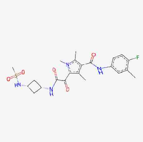 Cc1cc(NC(=O)c2c(C)c(C(=O)C(=O)N[C@H]3C[C@@H](NS(C)(=O)=O)C3)n(C)c2C)ccc1F